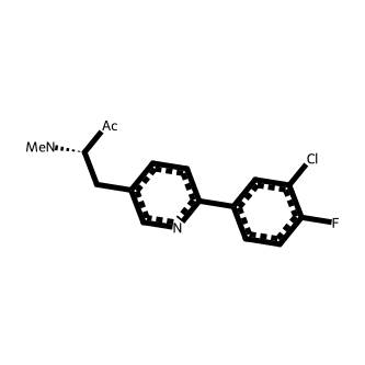 CN[C@@H](Cc1ccc(-c2ccc(F)c(Cl)c2)nc1)C(C)=O